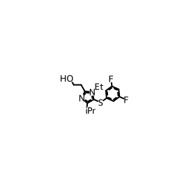 CCn1c(CCO)nc(C(C)C)c1Sc1cc(F)cc(F)c1